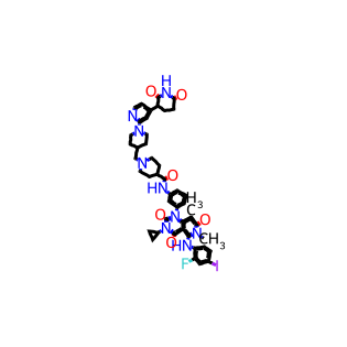 Cc1c(=O)n(C)c(Nc2ccc(I)cc2F)c2c(=O)n(C3CC3)c(=O)n(-c3cccc(NC(=O)C4CCN(CC5CCN(c6cc(C7CCC(=O)NC7=O)ccn6)CC5)CC4)c3)c12